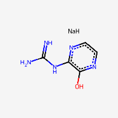 N=C(N)Nc1nccnc1O.[NaH]